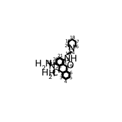 C=C1c2ccccc2C(=O)c2c(NCCN3CCCCC3)ccc(NN)c21